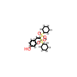 O=S(=O)(C(=Cc1ccc(O)cc1)S(=O)(=O)C1CCCCC1)C1CCCCC1